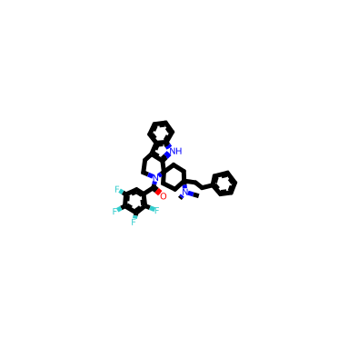 CN(C)C1(CCc2ccccc2)CCC2(CC1)c1[nH]c3ccccc3c1CCN2C(=O)c1cc(F)c(F)c(F)c1F